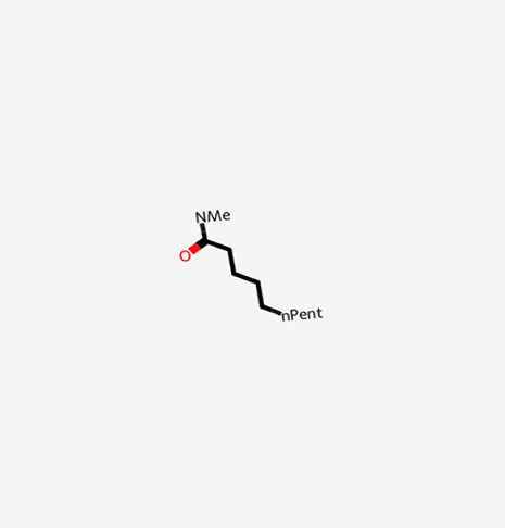 [CH2]CCCCCCCCC(=O)NC